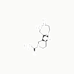 NC(=O)N1CCc2nn3c(c2C1)CNNCC3